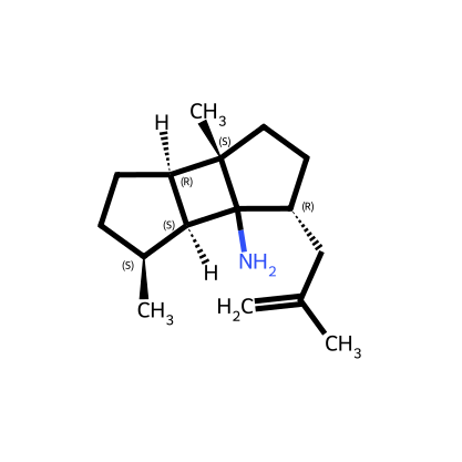 C=C(C)C[C@H]1CC[C@@]2(C)[C@@H]3CC[C@H](C)[C@@H]3C12N